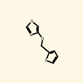 [c]1nc(OCc2cccs2)co1